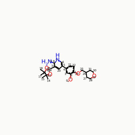 COc1cc(C2=CNC(N)C(B3OC(C)(C)C(C)(C)O3)=C2)ccc1OCC1CCOCC1